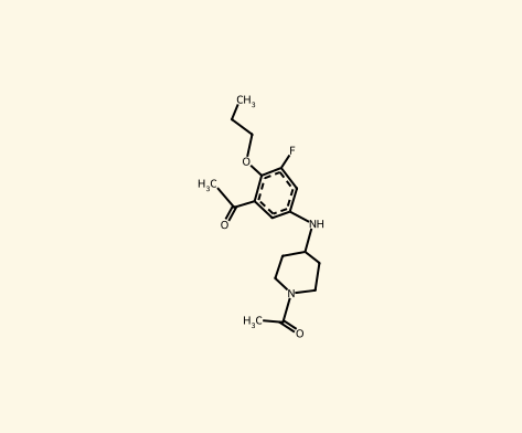 CCCOc1c(F)cc(NC2CCN(C(C)=O)CC2)cc1C(C)=O